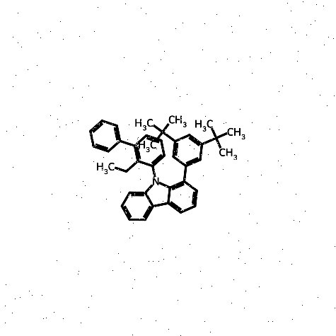 CCc1c(-c2ccccc2)cccc1-n1c2ccccc2c2cccc(-c3cc(C(C)(C)C)cc(C(C)(C)C)c3)c21